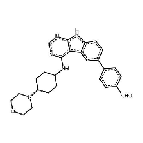 O=Cc1ccc(-c2ccc3[nH]c4ncnc(NC5CCC(N6CCOCC6)CC5)c4c3c2)cc1